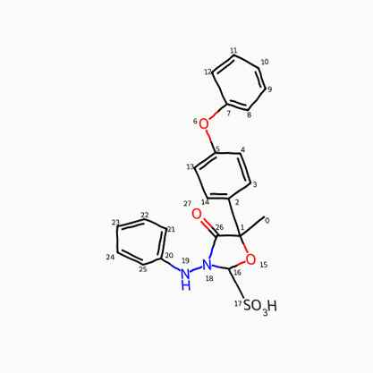 CC1(c2ccc(Oc3ccccc3)cc2)OC(S(=O)(=O)O)N(Nc2ccccc2)C1=O